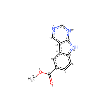 COC(=O)c1ccc2[nH]c3ncncc3c2c1